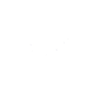 BN1CCN(Cc2ccc(C(N)=O)c(C(F)(F)F)c2)CC1